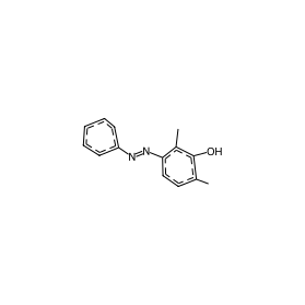 Cc1ccc(/N=N/c2ccccc2)c(C)c1O